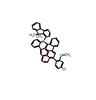 COc1cc(Cl)ccc1-c1cc2c3ccccc3c(B(c3ccccc3-c3ccccc3)c3cccc4c3C(C)(C)c3ccccc3-4)cc2c2ccccc12